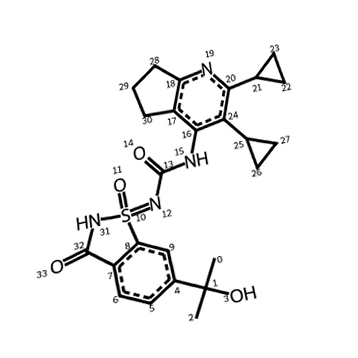 CC(C)(O)c1ccc2c(c1)S(=O)(=NC(=O)Nc1c3c(nc(C4CC4)c1C1CC1)CCC3)NC2=O